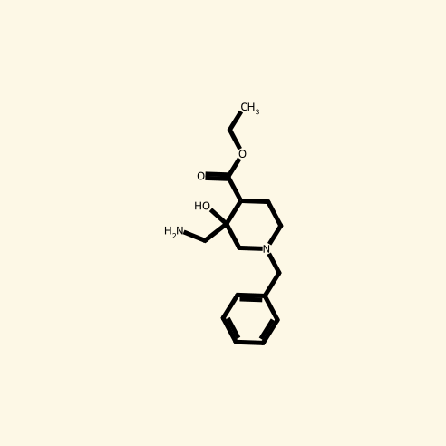 CCOC(=O)C1CCN(Cc2ccccc2)CC1(O)CN